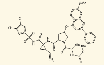 C=CC1CC1(NC(=O)C1CC(Oc2cc(-c3ccccc3)nc3cc(OC)ccc23)CN1C(=O)C(NC(=O)OC(C)(C)C)C(C)(C)C)C(=O)NS(=O)(=O)c1cc(Cl)c(Cl)s1